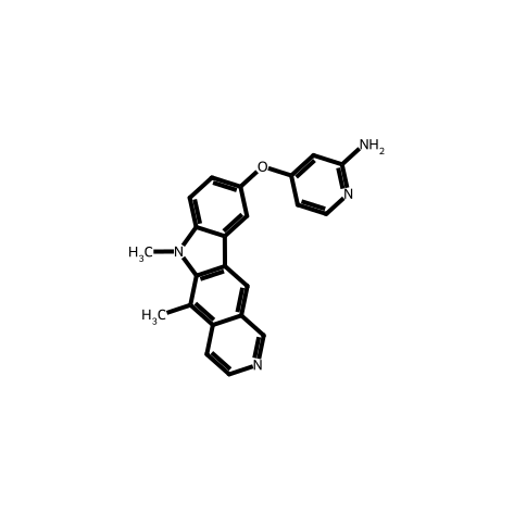 Cc1c2ccncc2cc2c3cc(Oc4ccnc(N)c4)ccc3n(C)c12